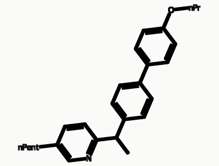 CCCCCc1ccc(C(C)c2ccc(-c3ccc(OCCC)cc3)cc2)nc1